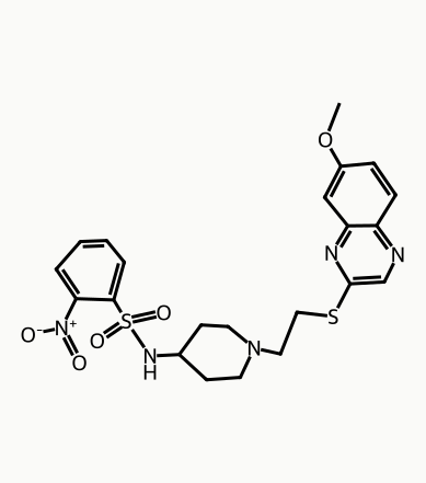 COc1ccc2ncc(SCCN3CCC(NS(=O)(=O)c4ccccc4[N+](=O)[O-])CC3)nc2c1